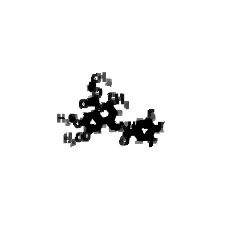 CCOC(=O)N1c2cc(OC)c(OC)cc2C(CNC(=O)c2cc(F)c(F)c(F)c2)CC1C